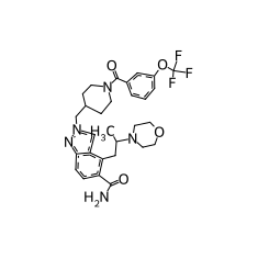 CC(Cc1c(C(N)=O)ccc2nn(CC3CCN(C(=O)c4cccc(OC(F)(F)F)c4)CC3)cc12)N1CCOCC1